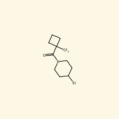 CCC1CCN(C(=O)C2(C(F)(F)F)CCC2)CC1